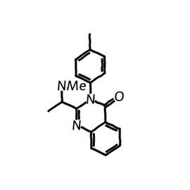 CNC(C)c1nc2ccccc2c(=O)n1-c1ccc(C)cc1